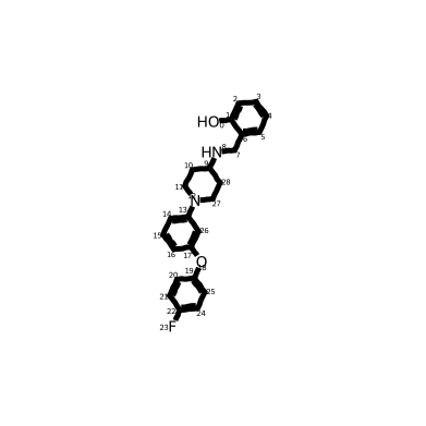 Oc1ccccc1CNC1CCN(c2cccc(Oc3ccc(F)cc3)c2)CC1